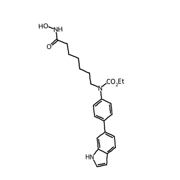 CCOC(=O)N(CCCCCCC(=O)NO)c1ccc(-c2ccc3cc[nH]c3c2)cc1